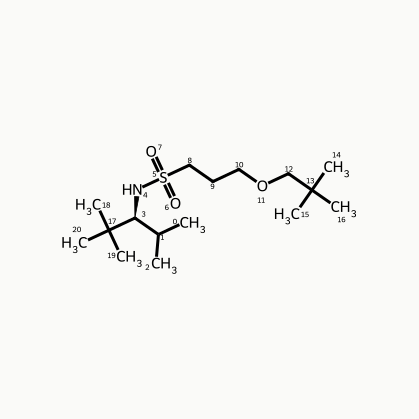 CC(C)[C@H](NS(=O)(=O)CCCOCC(C)(C)C)C(C)(C)C